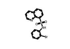 O=S(=O)(Nc1ccccc1Br)c1cccc2cccnc12